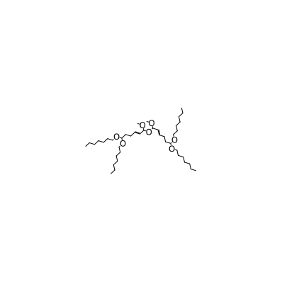 CCCCCCCOC(CCC=CC(OC)OC(C=CCCC(OCCCCCCC)OCCCCCCC)OC)OCCCCCCC